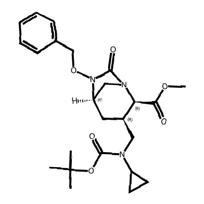 COC(=O)[C@H]1[C@@H](CN(C(=O)OC(C)(C)C)C2CC2)C[C@@H]2CN1C(=O)N2OCc1ccccc1